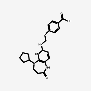 O=C1CCN(C2CCCC2)C2=C(C=NC(NCOc3ccc(C(=O)O)cc3)N2)N1